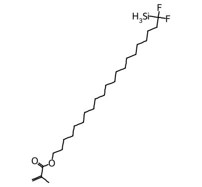 C=C(C)C(=O)OCCCCCCCCCCCCCCCCCCCCC(F)(F)[SiH3]